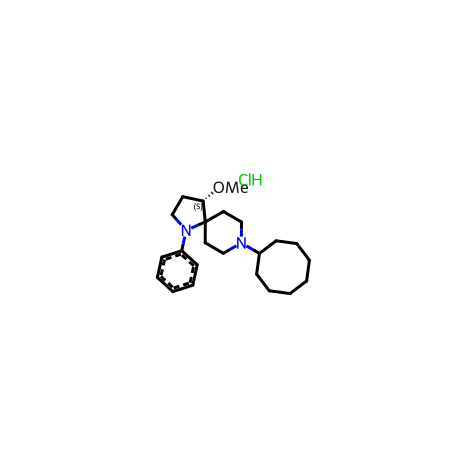 CO[C@H]1CCN(c2ccccc2)C12CCN(C1CCCCCCC1)CC2.Cl